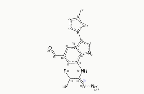 Cc1ccc(-c2cnc3c(N/C(=N\N)C(F)F)cc(C=O)cn23)s1